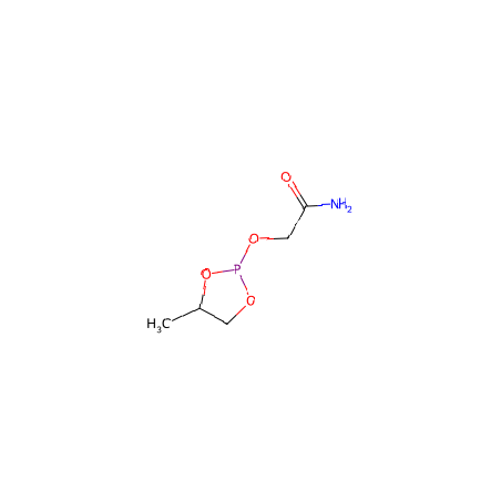 CC1COP(OCC(N)=O)O1